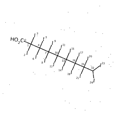 O=C(O)C(I)(I)C(I)(I)C(I)(I)C(I)(I)C(I)(I)C(I)(I)C(I)(I)C(I)I